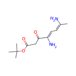 C/C(N)=C/C=C(\N)C(=O)CC(=O)OC(C)(C)C